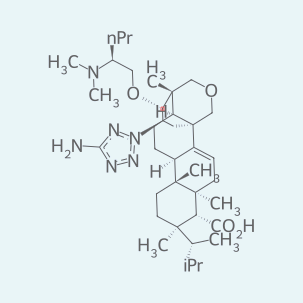 CCC[C@@H](CO[C@H]1[C@H](n2nnc(N)n2)C[C@@]23COC[C@]1(C)[C@@H]2CC[C@H]1C3=CC[C@@]2(C)[C@H](C(=O)O)[C@@](C)([C@H](C)C(C)C)CC[C@]12C)N(C)C